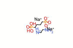 NCCN.O=P([O-])([O-])CCCCP(=O)(O)O.[Na+].[Na+]